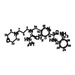 C=C(NCCC)N(CCCN1CCOCC1)Cc1ccc(C(=O)Nc2ccccc2N)nc1